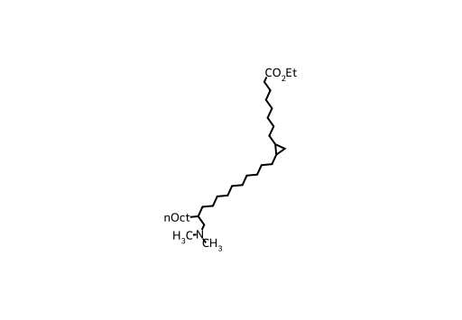 CCCCCCCCC(CCCCCCCCCCC1CC1CCCCCCCC(=O)OCC)CN(C)C